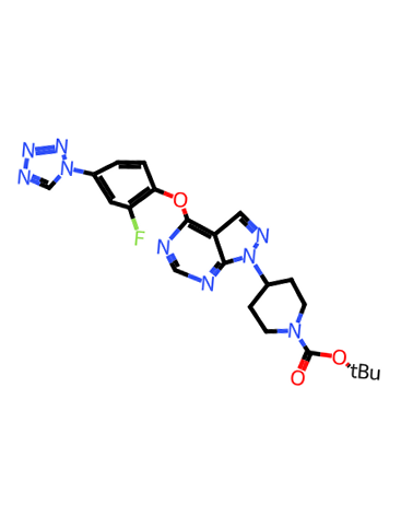 CC(C)(C)OC(=O)N1CCC(n2ncc3c(Oc4ccc(-n5cnnn5)cc4F)ncnc32)CC1